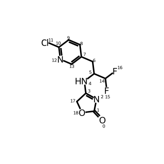 O=C1N=C(NC(Cc2ccc(Cl)nc2)C(F)F)CO1